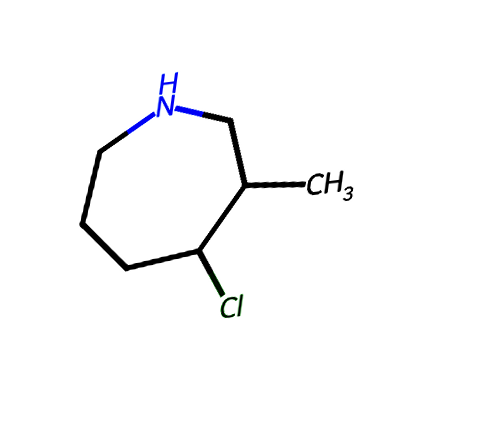 CC1CNCCCC1Cl